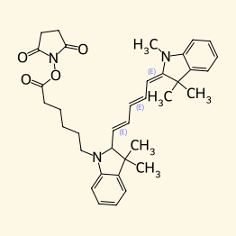 CN1/C(=C/C=C/C=C/C2N(CCCCCC(=O)ON3C(=O)CCC3=O)c3ccccc3C2(C)C)C(C)(C)c2ccccc21